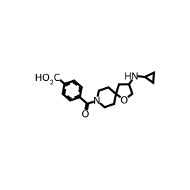 O=C(O)c1ccc(C(=O)N2CCC3(CC2)CC(NC2CC2)CO3)cc1